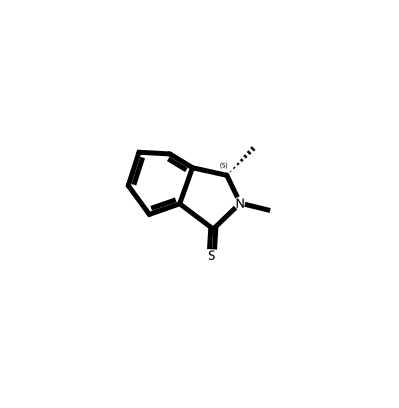 C[C@H]1c2ccccc2C(=S)N1C